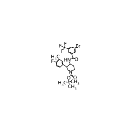 Cc1cc(C2CN(C(=O)OC(C)(C)C)CCC2NC(=O)c2cc(Br)cc(C(F)(F)F)c2)ccc1F